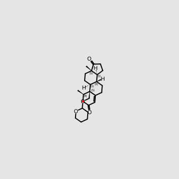 C[C@@H]1CC(=O)C=C2CC[C@@H]3[C@H](CC[C@]4(C)C(=O)CC[C@@H]34)[C@]21COC1CCCCO1